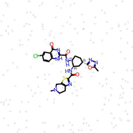 Cc1nnc([C@H]2CC[C@H](NC(=O)c3nc(=O)c4cc(Cl)ccc4[nH]3)[C@H](NC(=O)c3nc4c(s3)CN(C)CC4)C2)o1